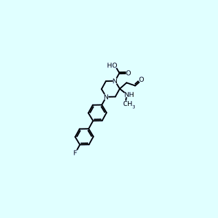 CNC1(CC=O)CN(c2ccc(-c3ccc(F)cc3)cc2)CCN1C(=O)O